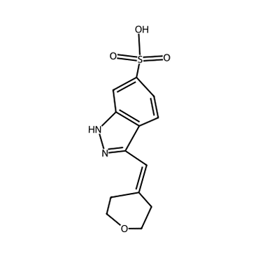 O=S(=O)(O)c1ccc2c(C=C3CCOCC3)n[nH]c2c1